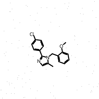 COc1ccccc1Cn1c(C)cnc1-c1ccc(Cl)cc1